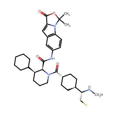 CC1(C)OC(=O)c2cc3cc(NC(=O)[C@@H]4[C@H](C5CCCCC5)CCCN4C(=O)[C@H]4CC[C@H]([C@@H](CF)NC(=O)O)CC4)ccc3n21